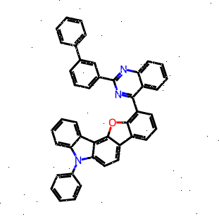 c1ccc(-c2cccc(-c3nc(-c4cccc5c4oc4c5ccc5c4c4ccccc4n5-c4ccccc4)c4ccccc4n3)c2)cc1